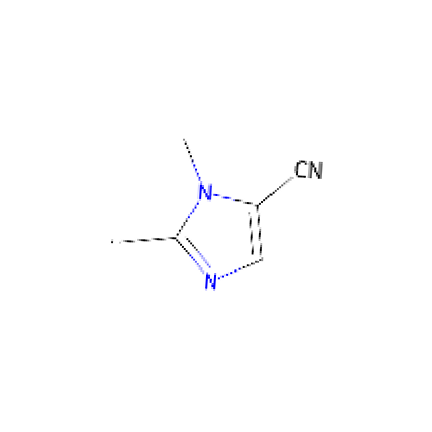 [CH2]c1ncc(C#N)n1C